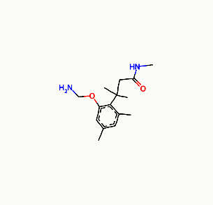 CNC(=O)CC(C)(C)c1c(C)cc(C)cc1OCN